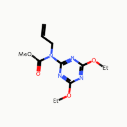 C=CCN(C(=O)OC)c1nc(OCC)nc(OCC)n1